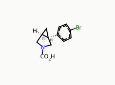 O=C(O)N1C[C@H]2C[C@@]2(c2ccc(Br)cc2)C1